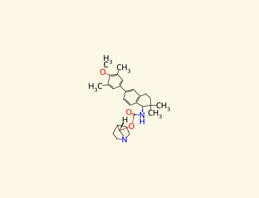 COc1c(C)cc(-c2ccc3c(c2)CCC(C)(C)[C@H]3NC(=O)O[C@@H]2CN3CCC2CC3)cc1C